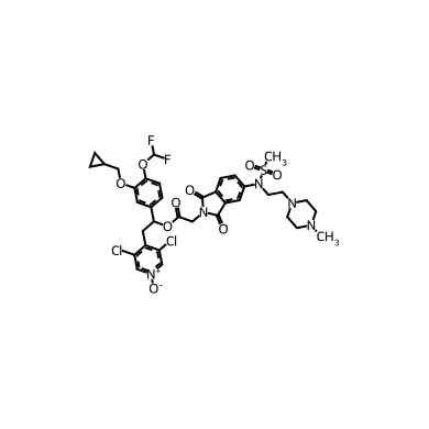 CN1CCN(CCN(c2ccc3c(c2)C(=O)N(CC(=O)OC(Cc2c(Cl)c[n+]([O-])cc2Cl)c2ccc(OC(F)F)c(OCC4CC4)c2)C3=O)S(C)(=O)=O)CC1